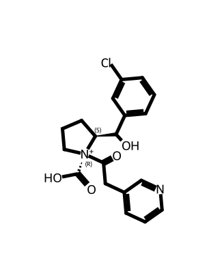 O=C(O)[N@+]1(C(=O)Cc2cccnc2)CCC[C@H]1C(O)c1cccc(Cl)c1